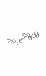 CCOC(=O)CCc1cccc(OC(=O)C2CCS(=O)(=O)CC2)c1